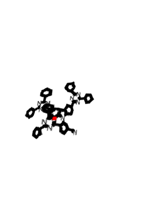 N#Cc1ccc(-c2nc(-c3ccccc3)nc(-c3ccccc3)n2)c(-n2c3ccc(-c4nc(-c5ccccc5)nc(-c5ccccc5)n4)cc3c3cc(-c4nc(-c5ccccc5)nc(-c5ccccc5)n4)ccc32)c1